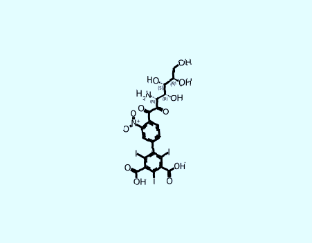 N[C@@H](C(=O)C(=O)c1ccc(-c2c(I)c(C(=O)O)c(I)c(C(=O)O)c2I)cc1[N+](=O)[O-])[C@@H](O)[C@H](O)[C@H](O)CO